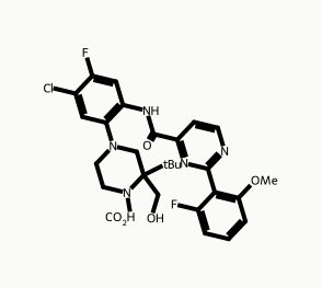 COc1cccc(F)c1-c1nccc(C(=O)Nc2cc(F)c(Cl)cc2N2CCN(C(=O)O)C(CO)(C(C)(C)C)C2)n1